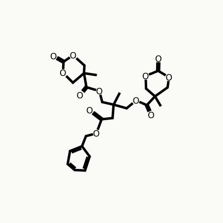 CC(COC(=O)C1(C)COC(=O)OC1)(COC(=O)C1(C)COC(=O)OC1)CC(=O)OCc1ccccc1